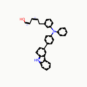 O/C=C\C=C/Cc1cccc(N(c2ccccc2)c2ccc(-c3ccc4[nH]c5ccccc5c4c3)cc2)c1